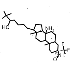 CC(C)(C)C(O)CCCCC1CCC2C1(C)CCC1C3(C)CC[C@@](N=O)(C(F)(F)F)CC3CCC21N